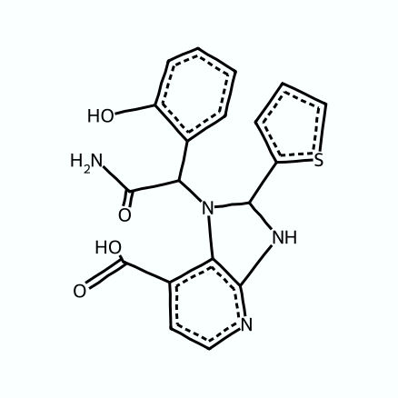 NC(=O)C(c1ccccc1O)N1c2c(C(=O)O)ccnc2NC1c1cccs1